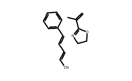 C=C(C)C1=NCCO1.N#CC=CC=Cc1ccccc1